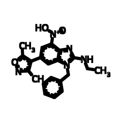 CCNc1nc2c([N+](=O)O)cc(-c3c(C)noc3C)cc2n1Cc1ccccc1